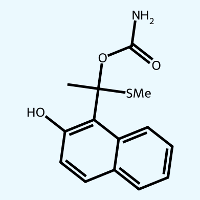 CSC(C)(OC(N)=O)c1c(O)ccc2ccccc12